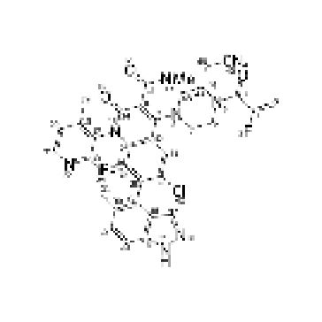 C=C(F)C(=O)N1CCN(c2c(C(=O)NC)c(=O)n(-c3c(C)ccnc3C(C)C)c3c(F)c(-c4c(C)ccc5[nH]ncc45)c(Cl)cc23)C[C@@H]1CC#N